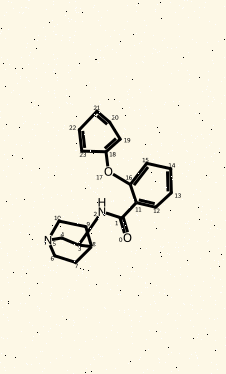 O=C(NC1CN2CCC1CC2)c1ccccc1Oc1ccccc1